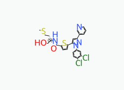 CSCC[C@@H](CO)NC(=O)c1ccc(-c2cc(-c3cccnc3)nn2-c2ccc(Cl)c(Cl)c2)s1